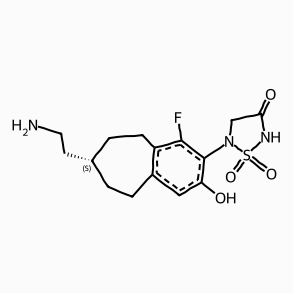 NCC[C@H]1CCc2cc(O)c(N3CC(=O)NS3(=O)=O)c(F)c2CC1